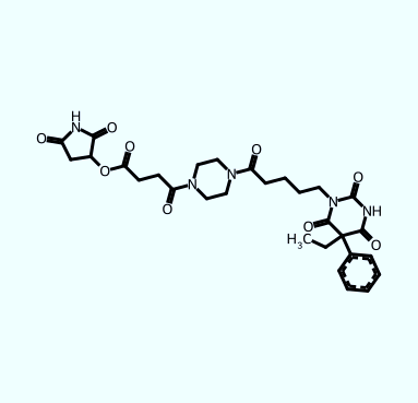 CCC1(c2ccccc2)C(=O)NC(=O)N(CCCCC(=O)N2CCN(C(=O)CCC(=O)OC3CC(=O)NC3=O)CC2)C1=O